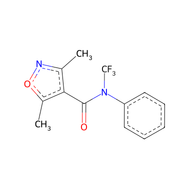 Cc1noc(C)c1C(=O)N(c1ccccc1)C(F)(F)F